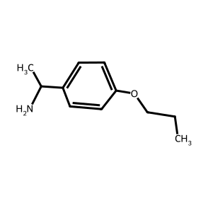 CCCOc1ccc(C(C)N)cc1